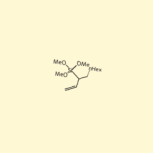 [CH2]CCCCCCC(C=C)[Si](OC)(OC)OC